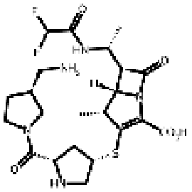 C[C@@H](NC(=O)C(F)F)[C@H]1C(=O)N2C(C(=O)O)=C(S[C@@H]3CN[C@H](C(=O)N4CC[C@@H](CN)C4)C3)[C@H](C)[C@H]12